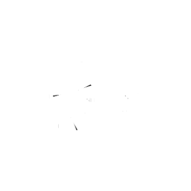 C[C@@]1(F)C[C@]2(F)COC[C@]2(c2cc([N+](=O)[O-])ccc2F)NC1=O